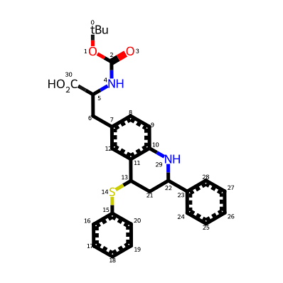 CC(C)(C)OC(=O)NC(Cc1ccc2c(c1)C(Sc1ccccc1)CC(c1ccccc1)N2)C(=O)O